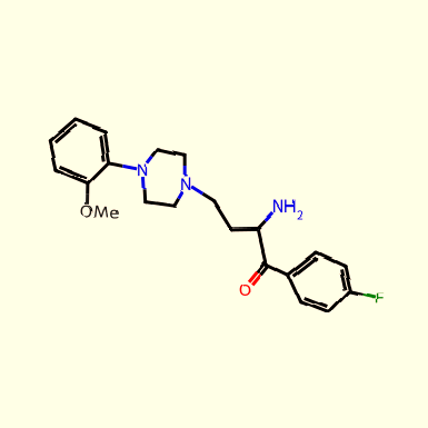 COc1ccccc1N1CCN(CCC(N)C(=O)c2ccc(F)cc2)CC1